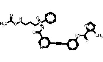 CC(=O)ONCCCS(=O)(=NC(=O)c1cncc(C#Cc2cccc(NC(=O)c3occc3C)c2)c1)c1ccccc1